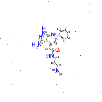 Cc1ccccc1-c1cc(CC(=O)NCCCN(C)C)c2c(N)n[nH]c2n1